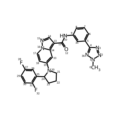 Cn1nnc(-c2cccc(NC(=O)c3cnn4ccc(N5CCCC5c5cc(F)ccc5F)cc34)c2)n1